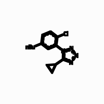 CCCCc1ccc(Cl)c(-n2nnnc2C2CC2)c1